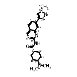 Cn1cc(-c2ccc3cnc(NC(=O)[C@H]4CC[C@H](N(C)C)CC4)nc3c2)nn1